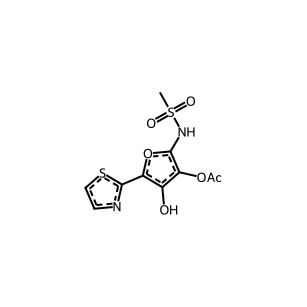 CC(=O)Oc1c(NS(C)(=O)=O)oc(-c2nccs2)c1O